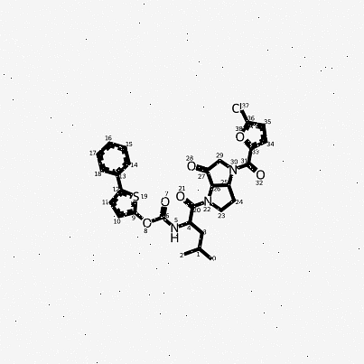 CC(C)CC(NC(=O)Oc1ccc(-c2ccccc2)s1)C(=O)N1CCC2C1C(=O)CN2C(=O)c1ccc(Cl)o1